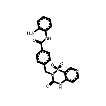 Nc1ccccc1NC(=O)c1ccc(CN2C(=O)Nc3ccncc3S2(=O)=O)cc1